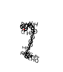 CCCC(C=O)N(C)Cc1c(C=O)cccc1NC(=O)COCCNCCOCCOCCOCCNC(=O)c1ccc(Nc2ncc3c(n2)-c2ccc(Cl)cc2C(c2c(F)cccc2F)=NC3)cc1